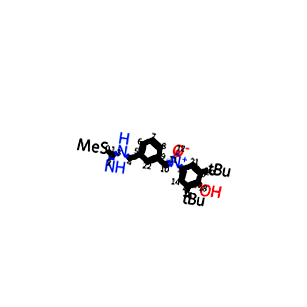 CSC(=N)NCc1cccc(/C=[N+](\[O-])c2cc(C(C)(C)C)c(O)c(C(C)(C)C)c2)c1